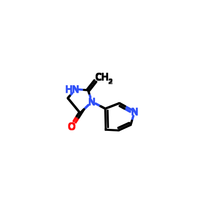 C=C1NCC(=O)N1c1cccnc1